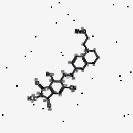 COCCN1CCCc2cc(/N=N/c3c(C#N)cc4c(c3Br)C(=O)N(C)C4=O)ccc21